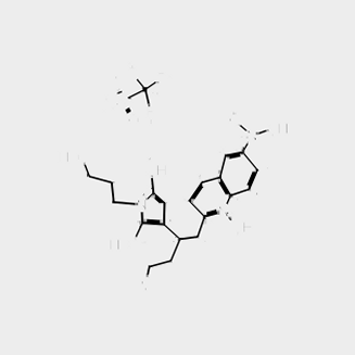 CCCCn1c(C)cc(C(CCC)Cc2ccc3cc(N(C)C)ccc3[n+]2C)c1C.O=S(=O)([O-])C(F)(F)F